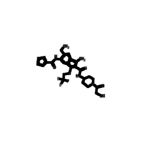 CCc1cc2c(cc1NC(=O)c1ccsc1)c(OCC(F)(F)F)c(C(=O)NC1CCN(C(=O)CO)CC1)n2C